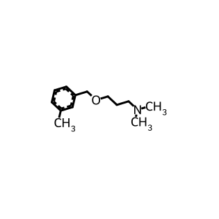 Cc1cccc(COCCCN(C)C)c1